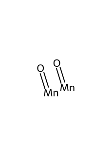 [O]=[Mn].[O]=[Mn]